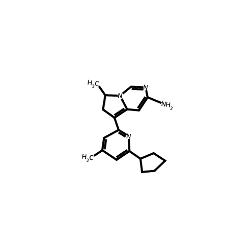 Cc1cc(C2=C3C=C(N)N=CN3C(C)C2)nc(C2CCCC2)c1